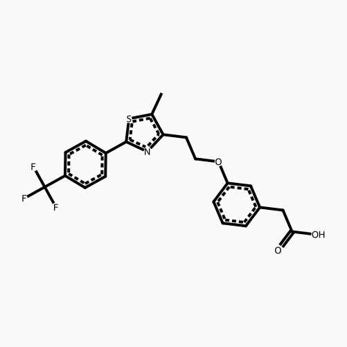 Cc1sc(-c2ccc(C(F)(F)F)cc2)nc1CCOc1cccc(CC(=O)O)c1